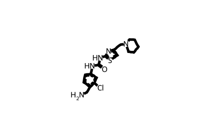 NCc1ccc(NC(=O)Nc2nc(CN3CCCCC3)cs2)cc1Cl